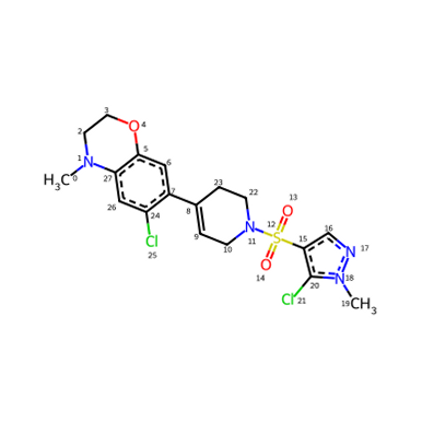 CN1CCOc2cc(C3=CCN(S(=O)(=O)c4cnn(C)c4Cl)CC3)c(Cl)cc21